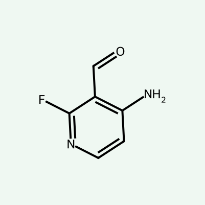 Nc1ccnc(F)c1C=O